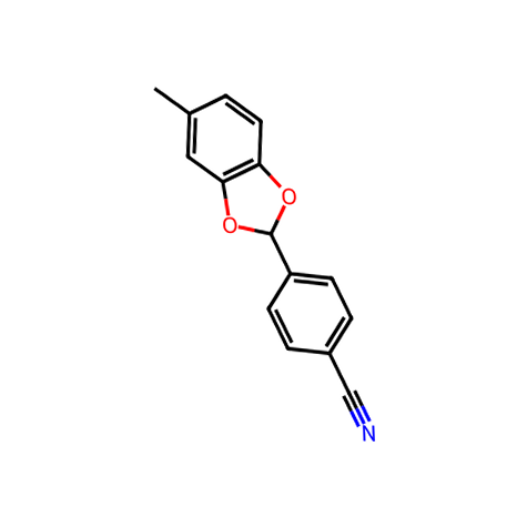 Cc1ccc2c(c1)OC(c1ccc(C#N)cc1)O2